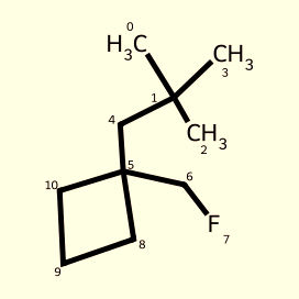 CC(C)(C)CC1(CF)CCC1